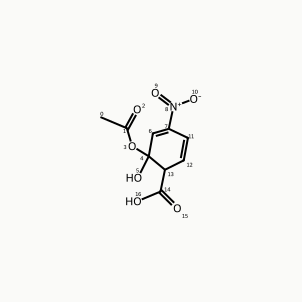 CC(=O)OC1(O)C=C([N+](=O)[O-])C=CC1C(=O)O